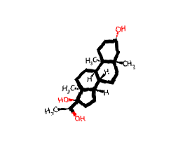 C[C@H](O)[C@@]1(O)CC[C@H]2[C@H]3CC[C@@]4(C)C[C@@H](O)CC[C@]4(C)[C@@H]3CC[C@@]21C